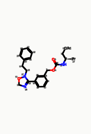 CC(=O)OC[C@@H](NC(=O)OCc1cccc(C2=NCON2CCc2ccccc2)c1)C(C)C